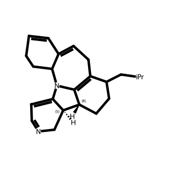 CC(C)CC1CC[C@H]2C3=C1CC=C1C=CCCC1N3C1=CC=NC[C@@H]12